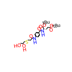 CC(C)(C)OC(=O)CC[C@H](NC(=O)c1ccc(NC(=O)CCSC[C@H](O)CO)cc1)C(=O)OC(C)(C)C